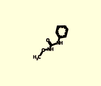 CONC(=O)Nc1cc[c]cc1